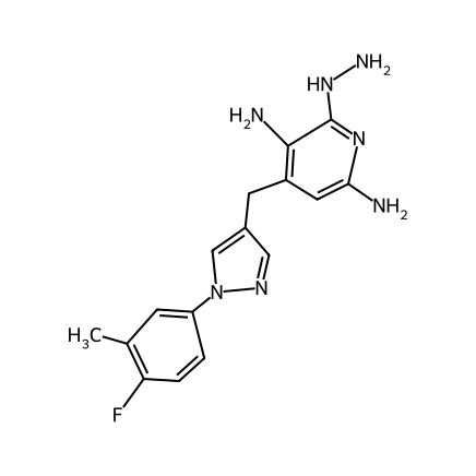 Cc1cc(-n2cc(Cc3cc(N)nc(NN)c3N)cn2)ccc1F